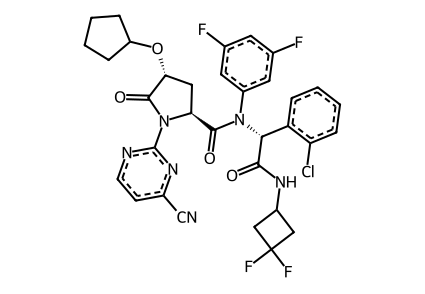 N#Cc1ccnc(N2C(=O)[C@H](OC3CCCC3)C[C@H]2C(=O)N(c2cc(F)cc(F)c2)[C@@H](C(=O)NC2CC(F)(F)C2)c2ccccc2Cl)n1